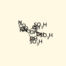 CN(C)c1cccc2c(S(=O)(=O)NC3=CC4CC5=CC(S(=O)(=O)O)=CC(CC6=CC(S(=O)(=O)O)=CC(CC7=CC(S(=O)(=O)O)=CC(CC(=C3)C4O)C7O)C6O)C5O)cccc12